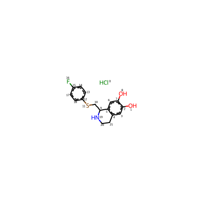 Cl.Oc1cc2c(cc1O)C(CSc1ccc(F)cc1)NCC2